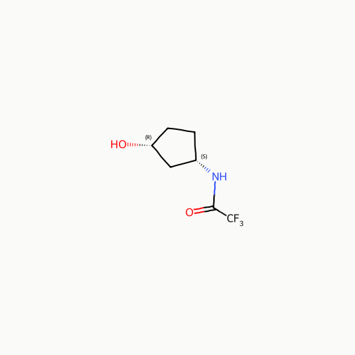 O=C(N[C@H]1CC[C@@H](O)C1)C(F)(F)F